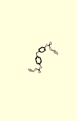 CC(C)(C)OC(=O)Oc1ccc(Cc2ccc(OC(=O)OC(C)(C)C)cc2)cc1